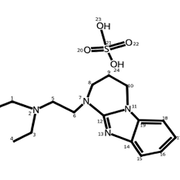 CCN(CC)CCN1CCCn2c1nc1ccccc12.O=S(=O)(O)O